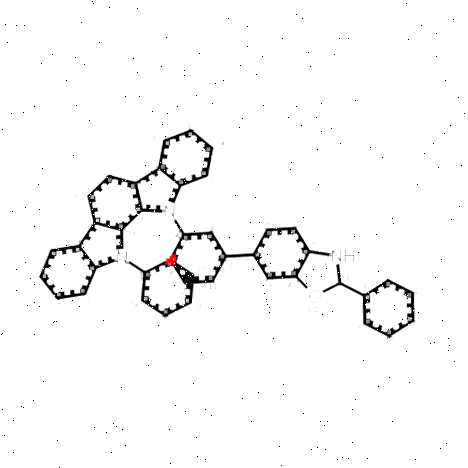 c1ccc(C2Nc3ccc(-c4cccc(-n5c6ccccc6c6ccc7c8ccccc8n(-c8ccccc8)c7c65)c4)cc3O2)cc1